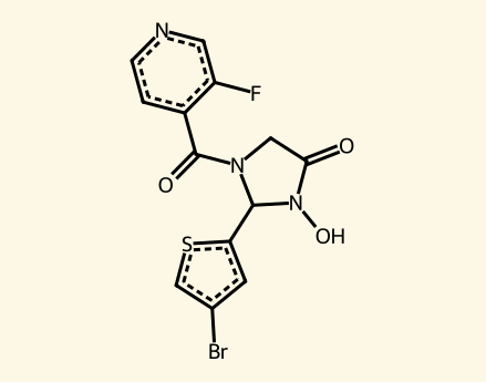 O=C1CN(C(=O)c2ccncc2F)C(c2cc(Br)cs2)N1O